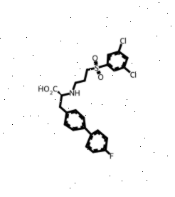 O=C(O)[C@H](Cc1ccc(-c2ccc(F)cc2)cc1)NCCCS(=O)(=O)c1cc(Cl)cc(Cl)c1